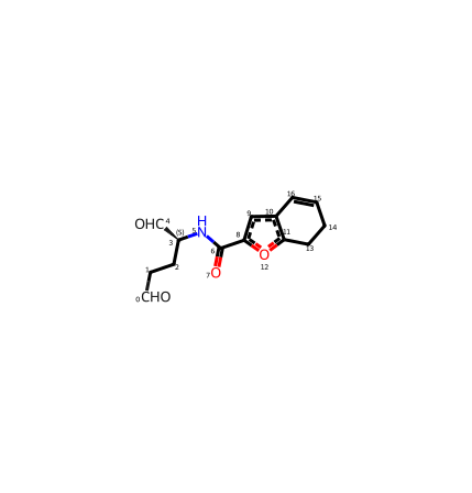 O=CCC[C@@H](C=O)NC(=O)c1cc2c(o1)CCC=C2